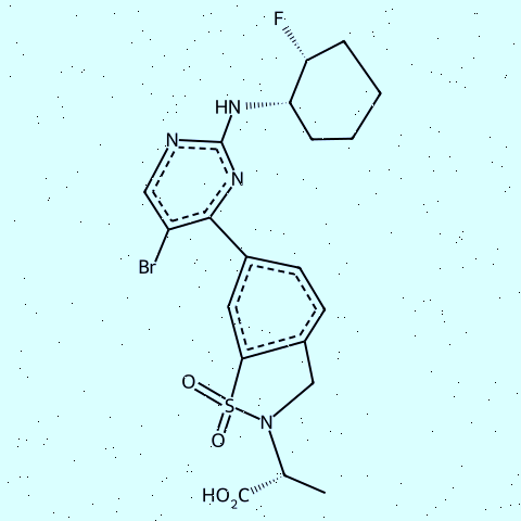 C[C@H](C(=O)O)N1Cc2ccc(-c3nc(N[C@H]4CCCC[C@H]4F)ncc3Br)cc2S1(=O)=O